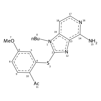 CCCCn1c(Sc2cc(OC)ccc2C(C)=O)nc2c(N)nccc21